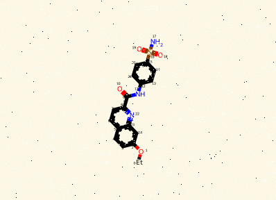 CCOc1ccc2ccc(C(=O)Nc3ccc(S(N)(=O)=O)cc3)nc2c1